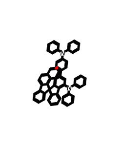 c1ccc(N(c2ccccc2)c2ccc(-c3cc(N(c4ccccc4)c4ccccc4)c4c(c3)C3(c5ccccc5-c5ccc6ccccc6c53)c3ccccc3-4)cc2)cc1